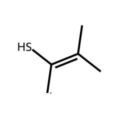 [CH2]C(S)=C(C)C